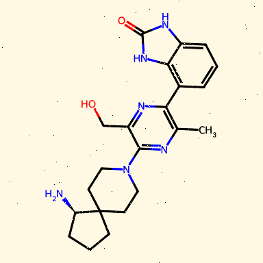 Cc1nc(N2CCC3(CCC[C@H]3N)CC2)c(CO)nc1-c1cccc2[nH]c(=O)[nH]c12